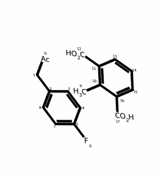 CC(=O)Cc1ccc(F)cc1.Cc1c(C(=O)O)cccc1C(=O)O